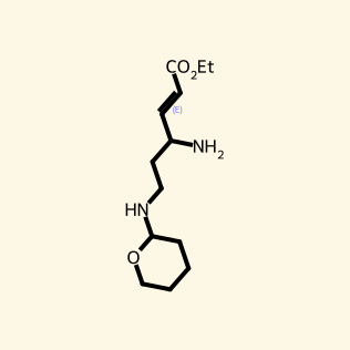 CCOC(=O)/C=C/C(N)CCNC1CCCCO1